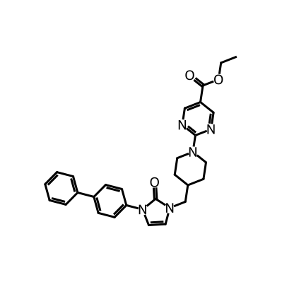 CCOC(=O)c1cnc(N2CCC(Cn3ccn(-c4ccc(-c5ccccc5)cc4)c3=O)CC2)nc1